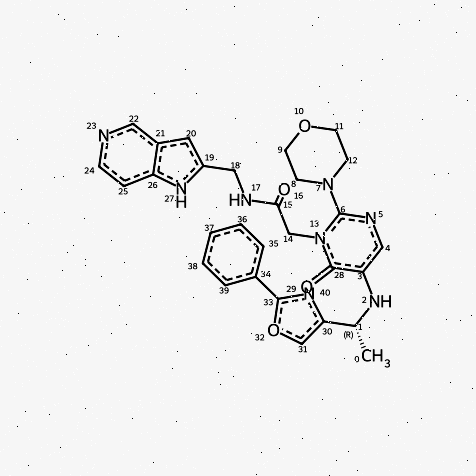 C[C@@H](Nc1cnc(N2CCOCC2)n(CC(=O)NCc2cc3cnccc3[nH]2)c1=O)c1coc(-c2ccccc2)n1